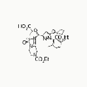 CCOC(=O)N1CCN(C(=O)[C@H](CCC(=O)O)NC(=O)c2cc(OC3(C(=O)OCC)CCC3)n(-c3cc(C)ccc3C)n2)CC1